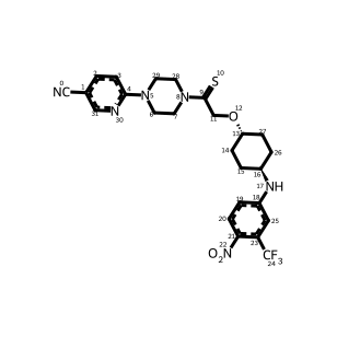 N#Cc1ccc(N2CCN(C(=S)CO[C@H]3CC[C@H](Nc4ccc([N+](=O)[O-])c(C(F)(F)F)c4)CC3)CC2)nc1